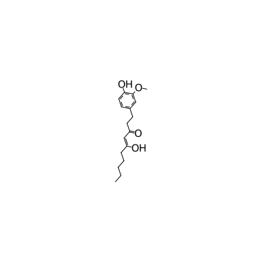 CCCCCC(O)=CC(=O)CCc1ccc(O)c(OC)c1